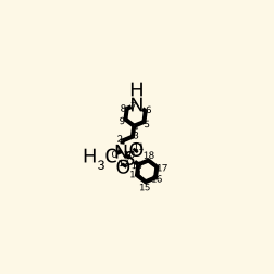 CN(CCC1CCNCC1)S(=O)(=O)C1CCCCC1